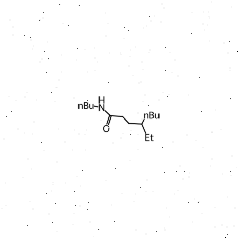 CCCCNC(=O)CCC(CC)CCCC